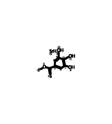 Oc1cc(C(=S)OF)cc(O)c1O.[SrH2]